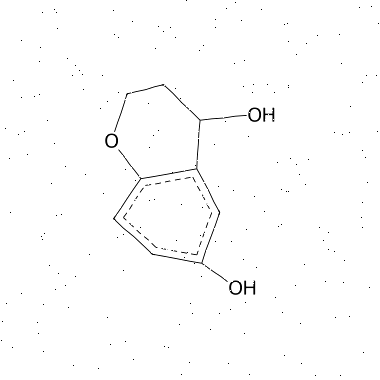 Oc1ccc2c(c1)C(O)CCO2